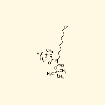 CC(C)(C)OC(=O)N(CCCCCCCCBr)C(=O)OC(C)(C)C